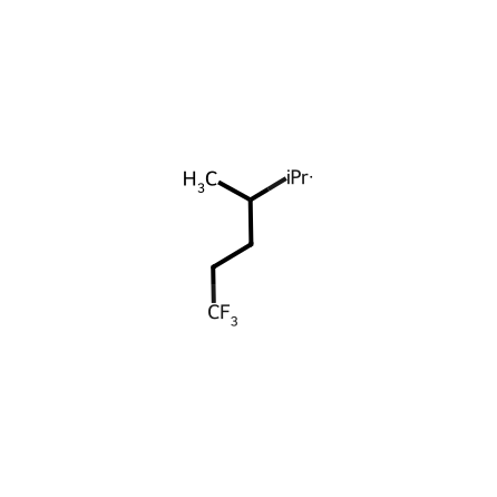 C[C](C)C(C)CCC(F)(F)F